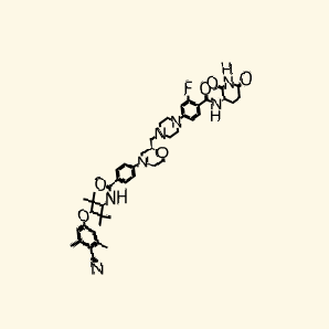 Cc1cc(O[C@H]2C(C)(C)[C@H](NC(=O)c3ccc(N4CCO[C@H](CN5CCN(c6ccc(C(=O)N[C@H]7CCC(=O)NC7=O)c(F)c6)CC5)C4)cc3)C2(C)C)cc(C)c1C#N